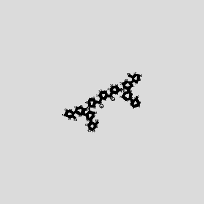 Cc1ccccc1C1=CC2c3cc(-c4ccccc4C)ccc3N(c3cccc(C(=O)c4cccc(C(=O)c5cccc(-n6c7ccc(-c8ccccc8C)cc7c7cc(-c8ccccc8C)ccc76)c5)c4)c3)C2C=C1